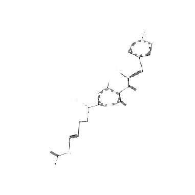 C/C(=C\c1ccc(C)cc1)C(=O)c1c(O)cc(C(C)CC/C=C/NC(=O)O)oc1=O